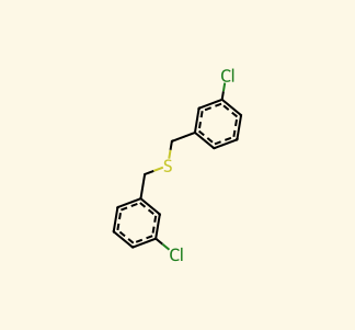 Clc1cccc(CSCc2cccc(Cl)c2)c1